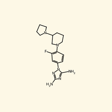 Nc1nc(N)n(-c2ccc(N3CCCC(N4CCCC4)C3)c(F)c2)n1